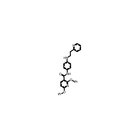 CC(C)Oc1ccc(C(=O)Nc2ccc(NCCc3ccccn3)cc2)c(OC(C)C)n1